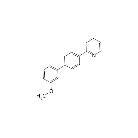 COc1cccc(-c2ccc(C3=NC=CCC3)cc2)c1